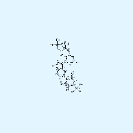 Cc1ccc(OC(CC(F)(F)F)C(=O)O)c(-c2nsc3ccc(-n4c(=O)cc(C(F)(F)F)n(C)c4=O)cc23)c1